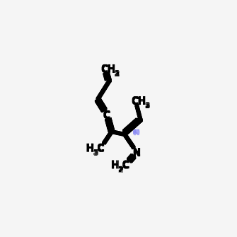 C=CC=C=C(C)/C(=C\C)N=C